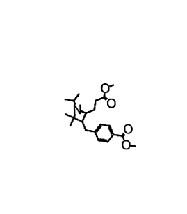 COC(=O)CCC1C(Cc2ccc(C(=O)OC)cc2)C(C)(C)N1C(C)C